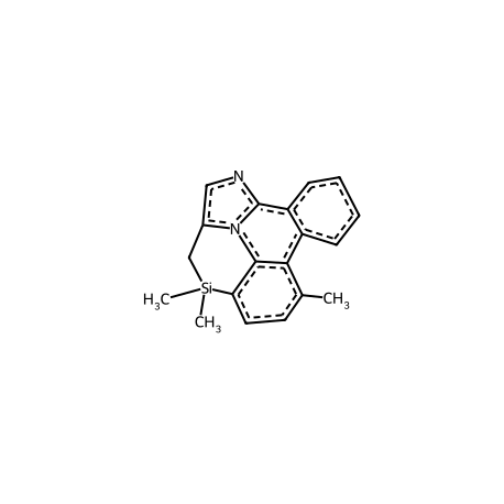 Cc1ccc2c3c1c1ccccc1c1ncc(n13)C[Si]2(C)C